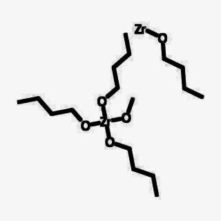 CCCC[O][Zr].CCCC[O][Zr]([O]C)([O]CCCC)[O]CCCC